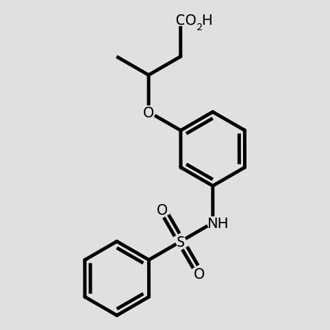 CC(CC(=O)O)Oc1cccc(NS(=O)(=O)c2ccccc2)c1